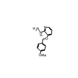 COc1ccc(COc2cccnc2NN)cc1